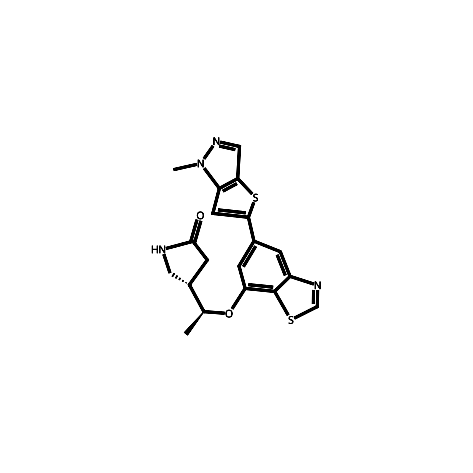 C[C@H](Oc1cc(-c2cc3c(cnn3C)s2)cc2ncsc12)[C@@H]1CNC(=O)C1